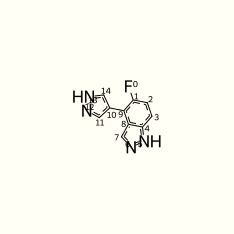 Fc1ccc2[nH]ncc2c1-c1cn[nH]c1